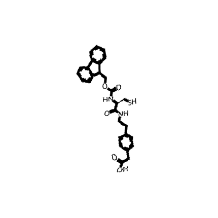 O=C(O)Cc1ccc(CCNC(=O)[C@H](CS)NC(=O)OCC2c3ccccc3-c3ccccc32)cc1